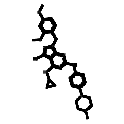 COc1ccc(Cn2nc(S)c3c(NC4CC4)nc(Nc4ccc(N5CCN(C)CC5)cc4)nc32)c(OC)c1